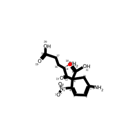 NC1=CC=C([N+](=O)[O-])C(C(=O)O)(C(=O)[C@@H](N)CCC(=O)O)C1